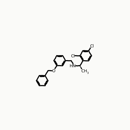 C[C@@H](NCc1cccc(OCc2ccccc2)c1)c1ccc(Cl)cc1Cl